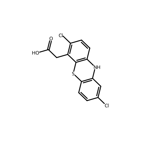 O=C(O)Cc1c(Cl)ccc2c1Sc1ccc(Cl)cc1N2